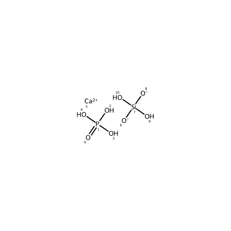 O=P(O)(O)O.[Ca+2].[O-][Si]([O-])(O)O